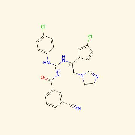 N#Cc1cccc(C(=O)/N=C(\Nc2ccc(Cl)cc2)N[C@H](Cn2ccnc2)C2C=CC(Cl)=C2)c1